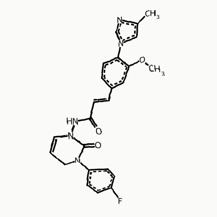 COc1cc(C=CC(=O)NN2C=CCN(c3ccc(F)cc3)C2=O)ccc1-n1cnc(C)c1